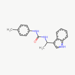 Cc1ccc(NC(=O)NC(C)c2c[nH]c3ccccc23)cc1